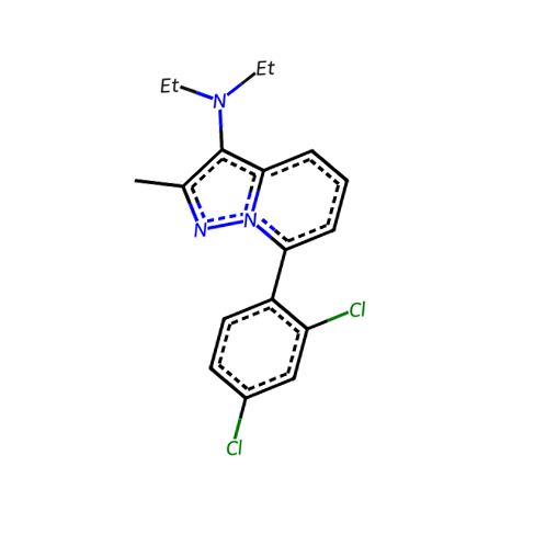 CCN(CC)c1c(C)nn2c(-c3ccc(Cl)cc3Cl)cccc12